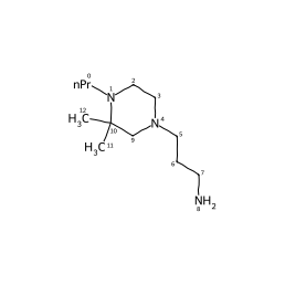 CCCN1CCN(CCCN)CC1(C)C